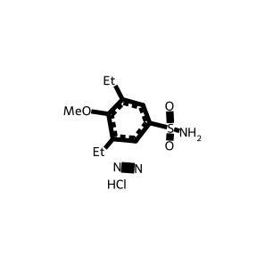 CCc1cc(S(N)(=O)=O)cc(CC)c1OC.Cl.N#N